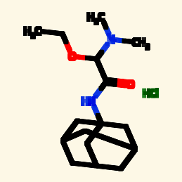 CCOC(C(=O)NC12CC3CC(CC(C3)C1)C2)N(C)C.Cl